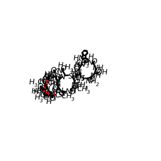 CCC(C)C1NC(=O)C2NC(=O)C(CC(C)C)NC(=O)C(NC(=O)C3CSCC(N)C(=O)NC(CO)C(=O)NCC(=O)NC(Cc4c[nH]c5ccccc45)C(=O)NC(C(C)C)C(=O)N3)C(C)SCC(NC(=O)C(CCC(=O)O)NC1=O)C(=O)NCC(=O)NC1C(=O)NC(CC(C)C)C(=O)NC(C(C)C)C(=O)NC(CSC2C)C(=O)NC(C)C(=O)NC(C(=O)O)CSC1C